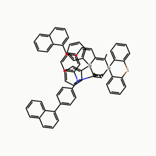 C=C/C=C\C1=C(C)[Si]2(c3ccccc3Sc3ccccc32)c2cccc(N(c3ccc(-c4cccc5ccccc45)cc3)c3ccc(-c4cccc5ccccc45)cc3)c2[Si]1(c1ccccc1)c1ccccc1